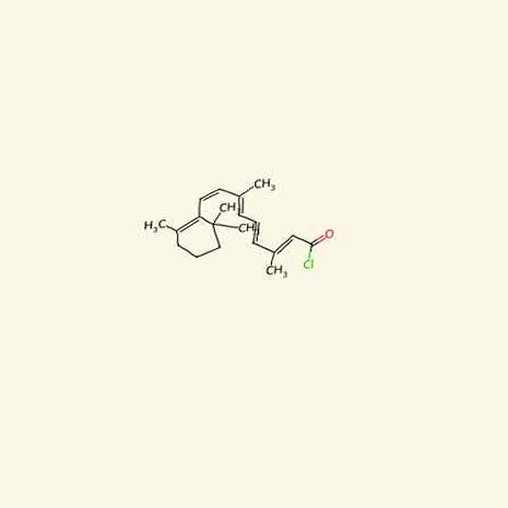 CC(C=CC=C(C)/C=C\C1=C(C)CCCC1(C)C)=CC(=O)Cl